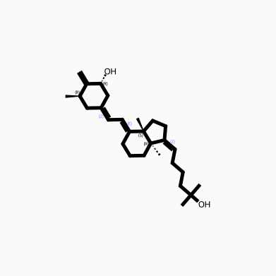 C=C1[C@H](C)C/C(=C/C=C2\CCC[C@]3(C)/C(=C\CCCC(C)(C)O)CC[C@@]23C)C[C@H]1O